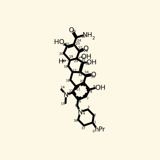 CCCC1CCN(Cc2cc(O)c3c(c2N(C)C)CC2C[C@H]4CC(O)=C(C(N)=O)C(=O)[C@@]4(O)C(O)=C2C3=O)CC1